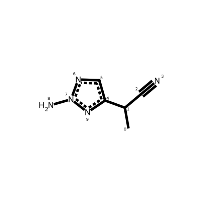 CC(C#N)c1cnn(N)n1